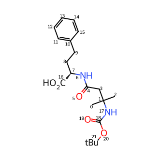 CC(C)(CC(=O)N[C@H](CCc1ccccc1)C(=O)O)NC(=O)OC(C)(C)C